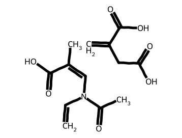 C=C(CC(=O)O)C(=O)O.C=CN(C=C(C)C(=O)O)C(C)=O